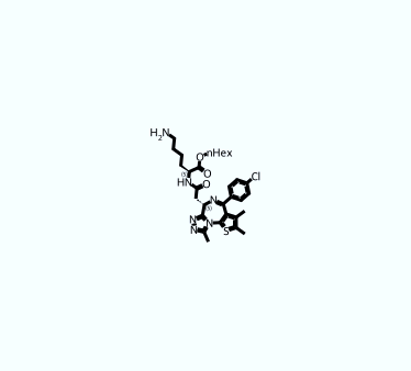 CCCCCCOC(=O)[C@H](CCCCN)NC(=O)C[C@@H]1N=C(c2ccc(Cl)cc2)c2c(sc(C)c2C)-n2c(C)nnc21